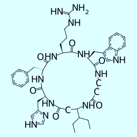 CCC(CC)C1CC(=O)N[C@@H](Cc2c[nH]cn2)C(=O)N[C@H](Cc2ccccc2)C(=O)N[C@@H](CCCNC(=N)N)C(=O)N[C@@H](Cc2c[nH]c3ccccc23)C(=O)NCCC(=O)N1